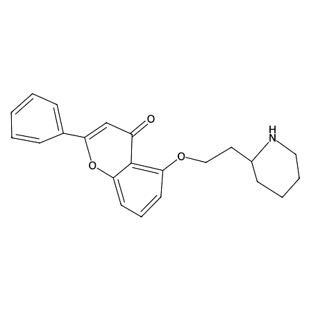 O=c1cc(-c2ccccc2)oc2cccc(OCCC3CCCCN3)c12